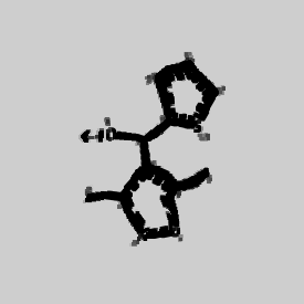 Cc1noc(C)c1C(O)c1cccs1